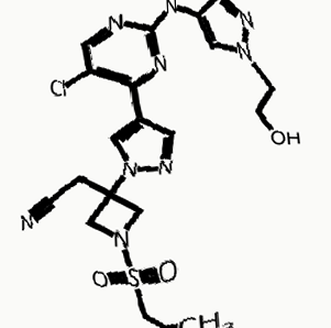 CCS(=O)(=O)N1CC(CC#N)(n2cc(-c3nc(Nc4cnn(CCO)c4)ncc3Cl)cn2)C1